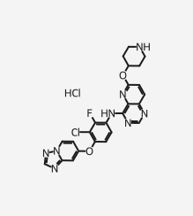 Cl.Fc1c(Nc2ncnc3ccc(OC4CCNCC4)nc23)ccc(Oc2ccn3ncnc3c2)c1Cl